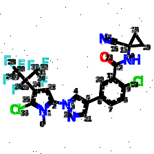 Cn1c(-n2cc(-c3ccc(Cl)c(C(=O)NC4(C#N)CC4)c3)cn2)cc(C(F)(C(F)(F)F)C(F)(F)F)c1Cl